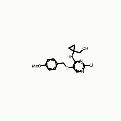 COc1ccc(COc2cnc(Cl)nc2NC2(CO)CC2)cc1